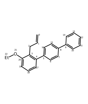 C=CCc1c(-c2ccc(-c3ccccc3)cc2)[c]ccc1OCC